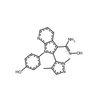 Cc1cnn(C)c1-c1c(/C(N)=N/O)c2cccnc2n1-c1ccc(O)cc1